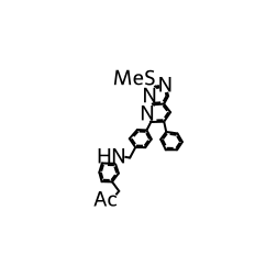 CSc1ncc2cc(-c3ccccc3)c(-c3ccc(CNc4cccc(CC(C)=O)c4)cc3)nc2n1